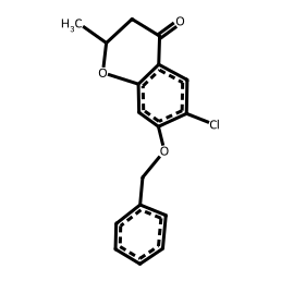 CC1CC(=O)c2cc(Cl)c(OCc3ccccc3)cc2O1